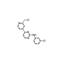 ClCc1cc(-c2ccnc(Nc3cccc(Cl)c3)n2)ccn1